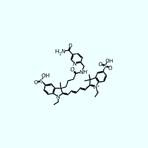 CCN1/C(=C/C=C/C=C/C2=[N+](CC)c3ccc(S(=O)(=O)O)cc3C2(C)C)C(C)(CCCC(=O)NCc2ccc(C(N)=O)cn2)c2cc(S(=O)O)ccc21